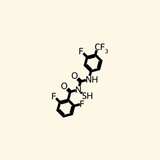 O=C(Nc1ccc(C(F)(F)F)c(F)c1)N(S)C(=O)c1c(F)cccc1F